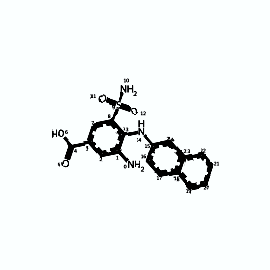 Nc1cc(C(=O)O)cc(S(N)(=O)=O)c1Nc1ccc2ccccc2c1